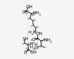 CC(O)C(N)C(=O)O.NC(CS)C(=O)O.NCCCCC(N)C(=O)O